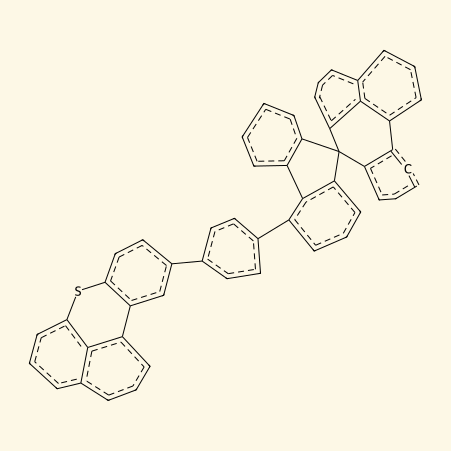 c1ccc2c(c1)-c1c(-c3ccc(-c4ccc5c(c4)-c4cccc6cccc(c46)S5)cc3)cccc1C21c2ccccc2-c2cccc3cccc1c23